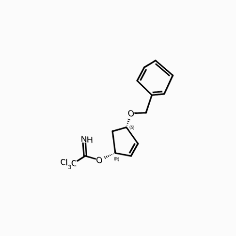 N=C(O[C@H]1C=C[C@@H](OCc2ccccc2)C1)C(Cl)(Cl)Cl